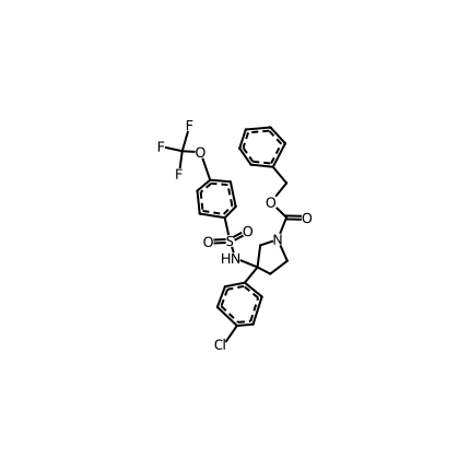 O=C(OCc1ccccc1)N1CCC(NS(=O)(=O)c2ccc(OC(F)(F)F)cc2)(c2ccc(Cl)cc2)C1